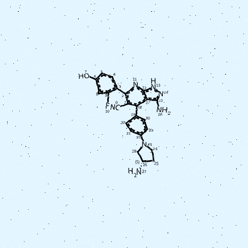 N#Cc1c(-c2ccc(O)cc2F)nc2[nH]nc(N)c2c1-c1ccc(N2CC[C@H](N)C2)cc1